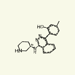 Cc1ccc(-c2nnc(N[C@@H]3CCCNC3)c3ccccc23)c(O)c1